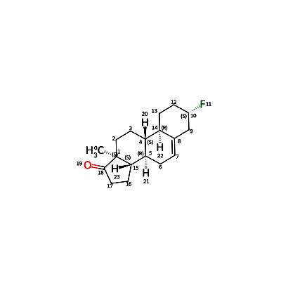 C[C@]12CC[C@H]3[C@@H](CC=C4C[C@@H](F)CC[C@@H]43)[C@@H]1CCC2=O